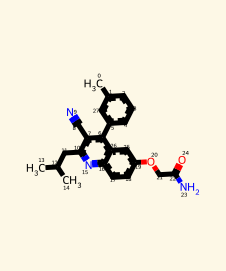 Cc1cccc(-c2c(C#N)c(CC(C)C)nc3ccc(OCC(N)=O)cc23)c1